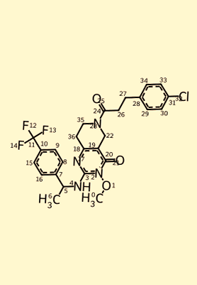 COn1c(NC(C)c2ccc(C(F)(F)F)cc2)nc2c(c1=O)CN(C(=O)CCc1ccc(Cl)cc1)CC2